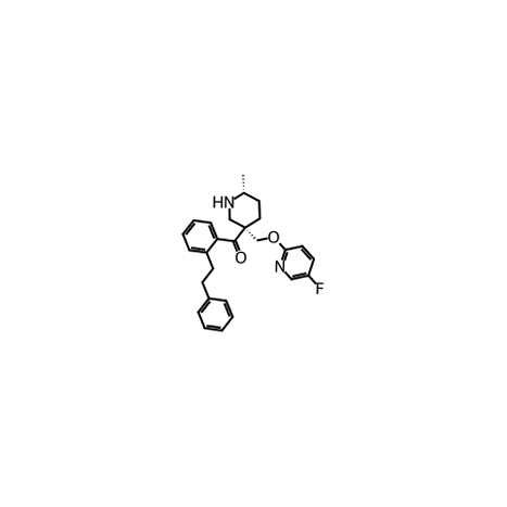 C[C@@H]1CC[C@@](COc2ccc(F)cn2)(C(=O)c2ccccc2CCc2ccccc2)CN1